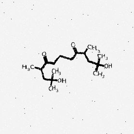 CC(CC(C)(C)O)C(=O)CCCC(=O)C(C)CC(C)(C)O